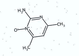 Cc1cc(C)[n+]([O-])c(N)n1